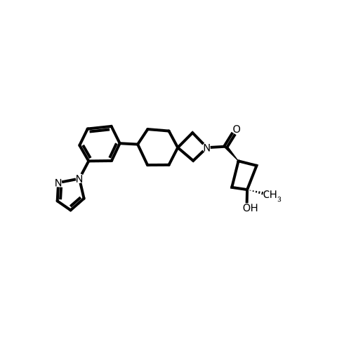 C[C@]1(O)C[C@@H](C(=O)N2CC3(CCC(c4cccc(-n5cccn5)c4)CC3)C2)C1